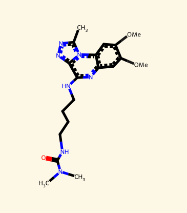 COc1cc2nc(NCCCCNC(=O)N(C)C)c3nnc(C)n3c2cc1OC